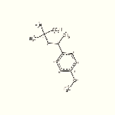 CC(CC(C)(N)C(=O)O)c1ccc(OC(F)(F)F)cc1